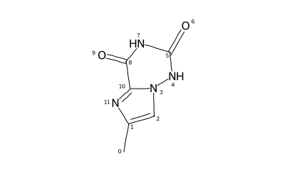 Cc1cn2[nH]c(=O)[nH]c(=O)c2n1